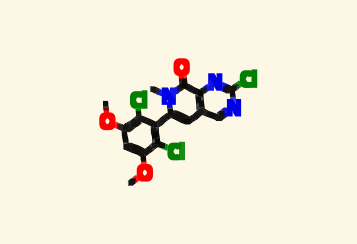 COc1cc(OC)c(Cl)c(-c2cc3cnc(Cl)nc3c(=O)n2C)c1Cl